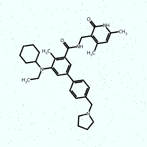 CCN(c1cc(-c2ccc(CN3CCCC3)cc2)cc(C(=O)NCc2c(C)cc(C)[nH]c2=O)c1C)C1CCCCC1